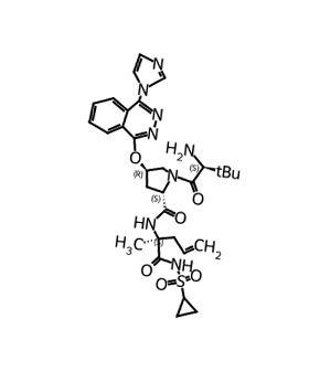 C=CC[C@](C)(NC(=O)[C@@H]1C[C@@H](Oc2nnc(-n3ccnc3)c3ccccc23)CN1C(=O)[C@@H](N)C(C)(C)C)C(=O)NS(=O)(=O)C1CC1